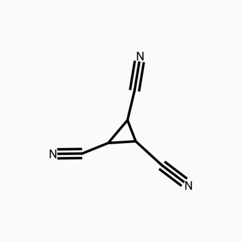 N#CC1C(C#N)C1C#N